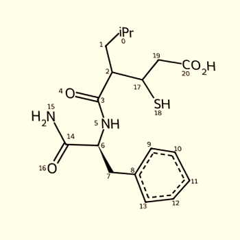 CC(C)CC(C(=O)N[C@@H](Cc1ccccc1)C(N)=O)C(S)CC(=O)O